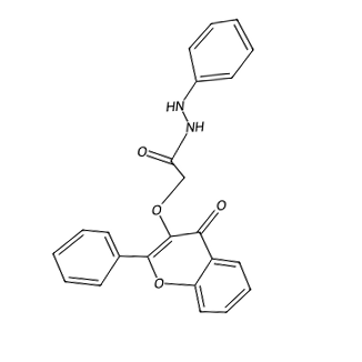 O=C(COc1c(-c2ccccc2)oc2ccccc2c1=O)NNc1ccccc1